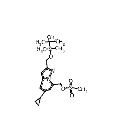 CC(C)(C)[Si](C)(C)OCc1cc2cc(C3CC3)cc(COS(C)(=O)=O)n2n1